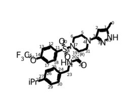 Cc1cc(N2CCN(S(=O)(=O)c3ccc(OC(F)(F)F)cc3)[C@@H](C(=O)NCc3ccc(C(C)C)cc3)C2)n[nH]1